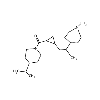 CC(C)C1CCN(C(=O)C2CC2CC(C)C2CCN(C)CC2)CC1